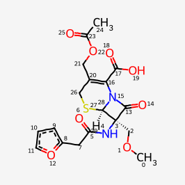 COC[C@@]1(NC(=O)Cc2ccco2)C(=O)N2C(C(=O)O)=C(COC(C)=O)CS[C@@H]21